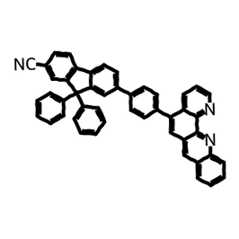 N#Cc1ccc2c(c1)C(c1ccccc1)(c1ccccc1)c1cc(-c3ccc(-c4cc5cc6ccccc6nc5c5ncccc45)cc3)ccc1-2